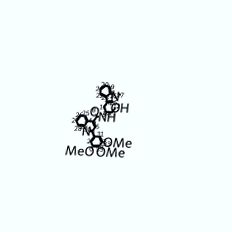 COc1cc(-c2cc(C(=O)NC(CO)Cc3cn(C)c4ccccc34)c3ccccc3n2)cc(OC)c1OC